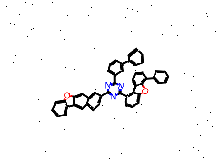 c1ccc(-c2cccc(-c3nc(-c4ccc5cc6c(cc5c4)oc4ccccc46)nc(-c4cccc5oc6c(-c7ccccc7)cccc6c45)n3)c2)cc1